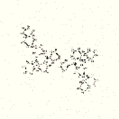 c1cc(-c2cccc(N(c3ccc(-c4cccc5ccccc45)cc3)c3cccc4c3sc3ccccc34)c2)cc(N(c2ccc(-c3ccc4ccccc4c3)cc2)c2cccc3c2sc2ccccc23)c1